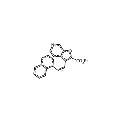 CCOC(=O)c1oc2cnccc2c1/C=C\c1cccc2ccccc12